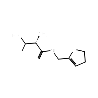 CC(C)[C@@H](N)C(=O)NCC1=CCCO1